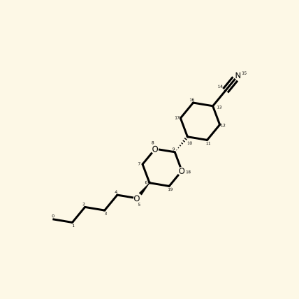 CCCCCO[C@H]1CO[C@H](C2CCC(C#N)CC2)OC1